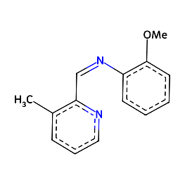 COc1ccccc1/N=C\c1ncccc1C